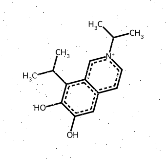 CC(C)c1c(O)c(O)cc2cc[n+](C(C)C)cc12